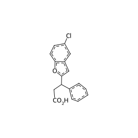 O=C(O)CC(c1ccccc1)c1cc2cc(Cl)ccc2o1